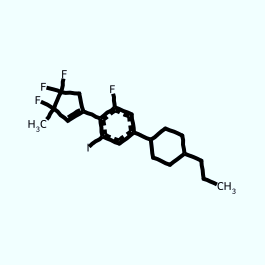 CCCC1CCC(c2cc(F)c(C3=CC(C)(F)C(F)(F)C3)c(I)c2)CC1